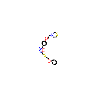 c1ccc(OCCSCc2nnc(-c3ccc(OCCN4CCSCC4)cc3)o2)cc1